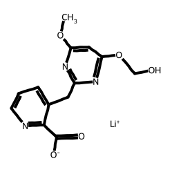 COc1cc(OCO)nc(Cc2cccnc2C(=O)[O-])n1.[Li+]